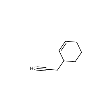 C#CCC1C=[C]CCC1